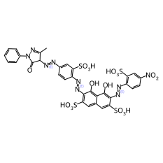 CC1=NN(c2ccccc2)C(=O)C1/N=N/c1ccc(/N=N/c2c(S(=O)(=O)O)cc3cc(S(=O)(=O)O)c(/N=N/c4ccc([N+](=O)[O-])cc4S(=O)(=O)O)c(O)c3c2O)c(S(=O)(=O)O)c1